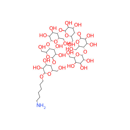 NCCCCCCO[C@@H]1OC(CO)[C@@H](O[C@H]2OC(CO)[C@H](O[C@H]3OC(CO)[C@@H](O[C@@H]4OC(CO)[C@@H](O[C@@H]5OC(CO)[C@@H](O[C@H]6OC(CO)[C@H](O)[C@H](O)C6O)C(O)[C@@H]5O)C(O)[C@@H]4O)[C@H](O)C3O)[C@H](O)C2O)C(O)[C@@H]1O